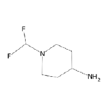 NC1CCN(C(F)F)CC1